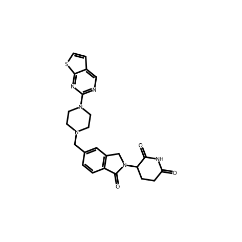 O=C1CCC(N2Cc3cc(CN4CCN(c5ncc6ccsc6n5)CC4)ccc3C2=O)C(=O)N1